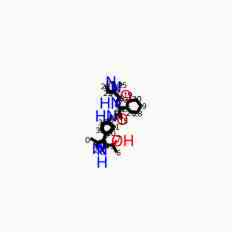 Cc1n[nH]c(C(C)O)c1-c1ccc(NC(=O)C(NC(=O)c2ccnn2C)C2CCCCC2)cc1